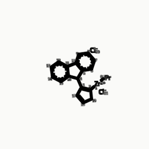 C[CH](C)[Zr+2][C]1=C(C2c3ccccc3-c3ccccc32)C=CC1.[Cl-].[Cl-]